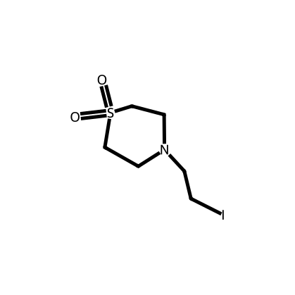 O=S1(=O)CCN(CCI)CC1